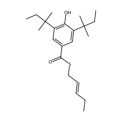 CCC=CCSC(=O)c1cc(C(C)(C)CC)c(O)c(C(C)(C)CC)c1